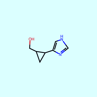 OCC1CC1c1c[nH]cn1